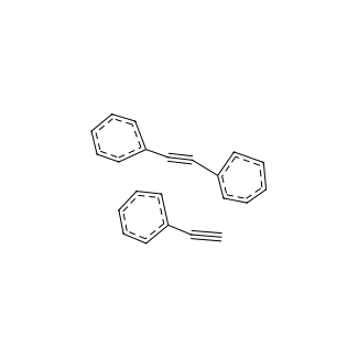 C#Cc1ccccc1.C(#Cc1ccccc1)c1ccccc1